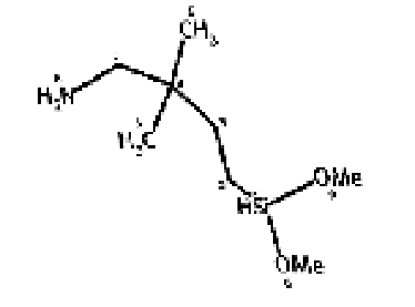 CO[SiH](CCC(C)(C)CN)OC